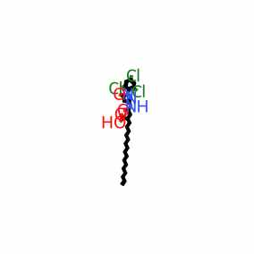 C=CCCCCCCCCCCCCCCC(CC(=O)NC1=NN(c2c(Cl)cc(Cl)cc2Cl)C(=O)C1)C(=O)O